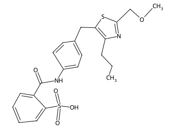 CCCc1nc(COC)sc1Cc1ccc(NC(=O)c2ccccc2S(=O)(=O)O)cc1